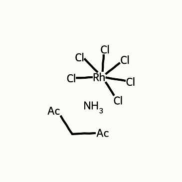 CC(=O)CC(C)=O.N.[Cl][Rh]([Cl])([Cl])([Cl])([Cl])[Cl]